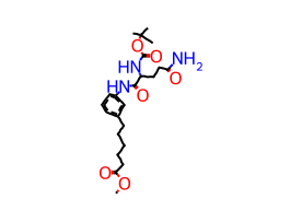 COC(=O)CCCCCc1cccc(NC(=O)C(CCC(N)=O)NC(=O)OC(C)(C)C)c1